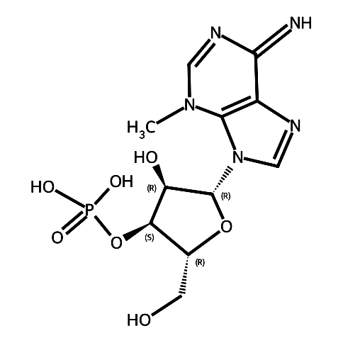 Cn1cnc(=N)c2ncn([C@@H]3O[C@H](CO)[C@@H](OP(=O)(O)O)[C@H]3O)c21